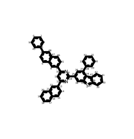 c1ccc(-c2ccc3cc(-c4cc(-c5ccc6ccccc6c5)nc(-c5cc(-c6ccccc6)c6c(c5)sc5ccccc56)n4)ccc3c2)cc1